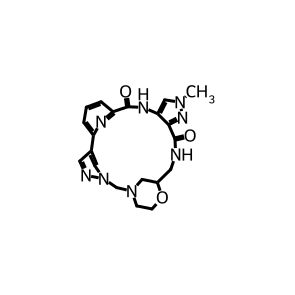 Cn1cc2c(n1)C(=O)NCC1CN(CCO1)Cn1cc(cn1)-c1cccc(n1)C(=O)N2